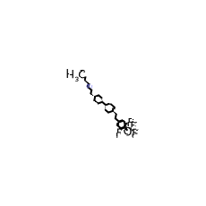 CCC/C=C/CC[C@H]1CC[C@H]([C@H]2CC[C@H](CCc3cc(F)c(OC(F)F)c(F)c3)CC2)CC1